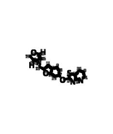 c1cnc2nc(Oc3ccc4cc(CN5C[C@@H]6C[C@H]5CO6)oc4c3)sc2c1